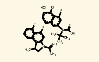 CC(C)(C)N(C(=O)O)c1cc(F)c2c(Cl)cccc2c1.CC1CN(C(=N)N)c2cc(F)c3c(Cl)cccc3c21.Cl